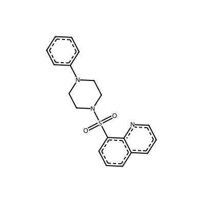 O=S(=O)(c1cccc2cccnc12)N1CCN(c2ccccc2)CC1